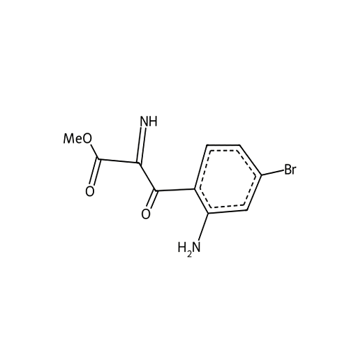 COC(=O)C(=N)C(=O)c1ccc(Br)cc1N